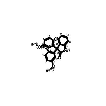 CC(C)Oc1ccc(O)c(C2(c3cc(OC(C)C)ccc3O)C(=O)Nc3ccccc32)c1